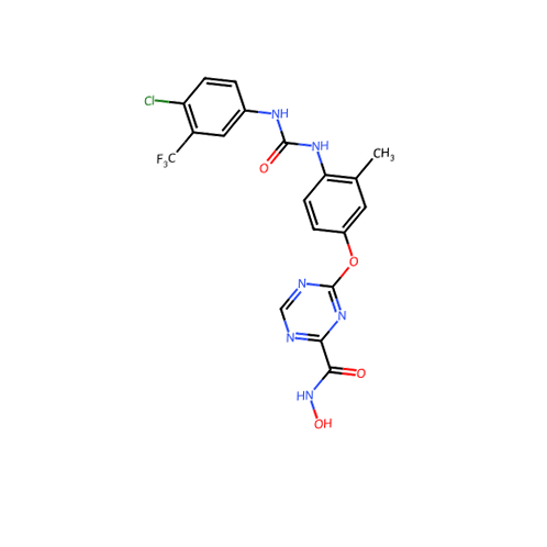 Cc1cc(Oc2ncnc(C(=O)NO)n2)ccc1NC(=O)Nc1ccc(Cl)c(C(F)(F)F)c1